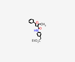 CCOC(=O)Cc1ccc(NC(=O)c2cc(-c3ccccc3)oc2C)cc1